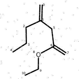 C=C(CCC)CC(=C)OCC